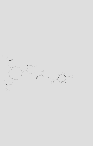 O=C(O)CN1CCN(CC(=O)O)CCN(C(CCC(=O)NCCNc2nnc(Cl)nn2)C(=O)O)CC1